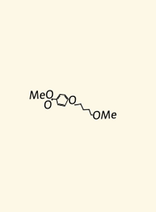 COCCCCCOc1ccc(C(=O)OC)cc1